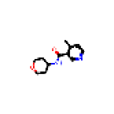 Cc1ccncc1C(=O)NC1CCOCC1